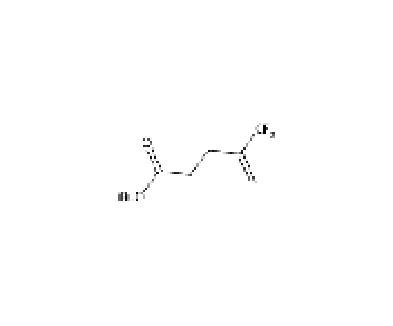 C=C(CCC(=O)OCC(C)C)C(F)(F)F